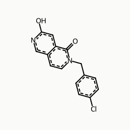 O=c1c2cc(O)ncc2ccn1Cc1ccc(Cl)cc1